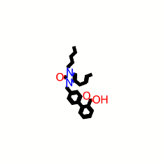 C/C=C/Cc1cn(CCCCC)c(=O)n1Cc1ccc(-c2ccccc2C(=O)O)cc1